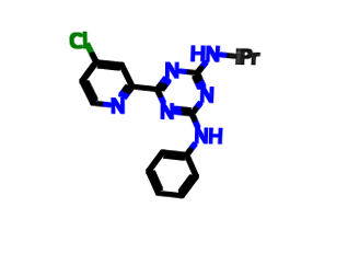 CC(C)Nc1nc(Nc2ccccc2)nc(-c2cc(Cl)ccn2)n1